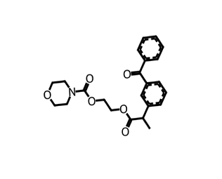 CC(C(=O)OCCOC(=O)N1CCOCC1)c1cccc(C(=O)c2ccccc2)c1